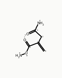 C=C(CC(N)=O)C(=O)ON